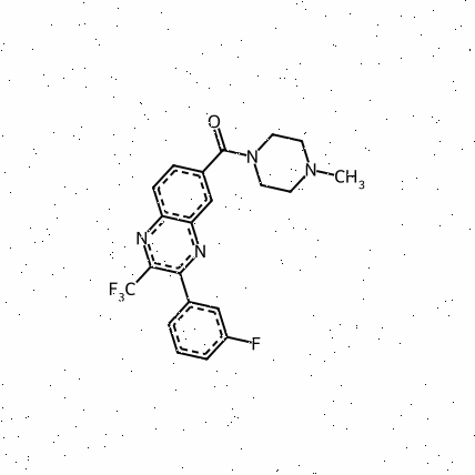 CN1CCN(C(=O)c2ccc3nc(C(F)(F)F)c(-c4cccc(F)c4)nc3c2)CC1